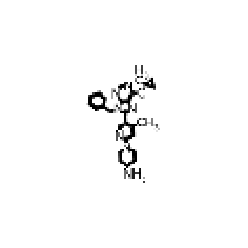 Cc1cc(N2CCC(N)CC2)ncc1-c1nc2c(OC3(C)CC3)ncnc2n1Cc1ccccc1